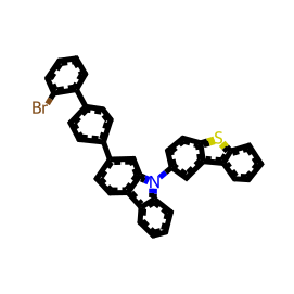 Brc1ccccc1-c1ccc(-c2ccc3c4ccccc4n(-c4ccc5sc6ccccc6c5c4)c3c2)cc1